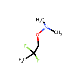 CN(C)OCC(F)(F)C(F)(F)F